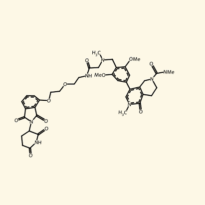 CNC(=O)N1CCc2c(c(-c3cc(OC)c(CN(C)CC(=O)NCCOCCOc4cccc5c4C(=O)N(C4CCC(=O)NC4=O)C5=O)c(OC)c3)cn(C)c2=O)C1